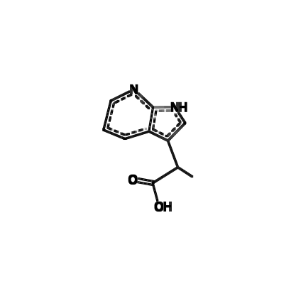 CC(C(=O)O)c1c[nH]c2ncccc12